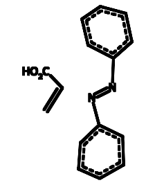 C=CC(=O)O.c1ccc(/N=N/c2ccccc2)cc1